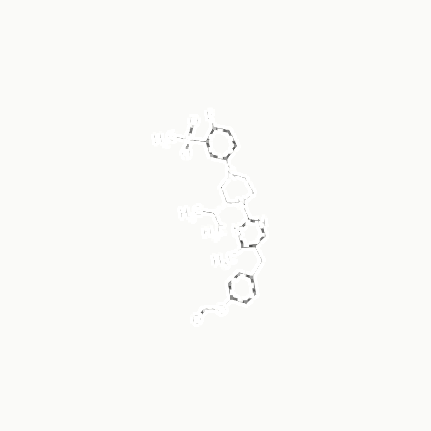 Cc1nc(N2CCN(c3ccc(F)c(S(C)(=O)=O)c3)C[C@H]2C(C)C)ncc1Cc1ccc(OC=O)cc1